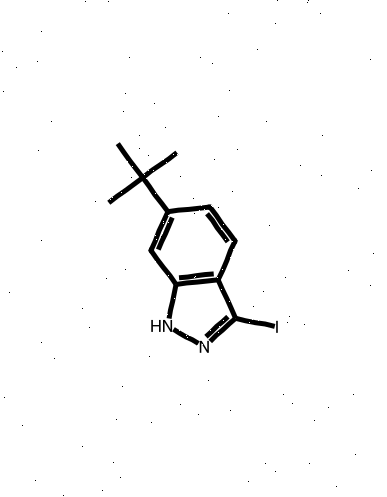 CC(C)(C)c1ccc2c(I)n[nH]c2c1